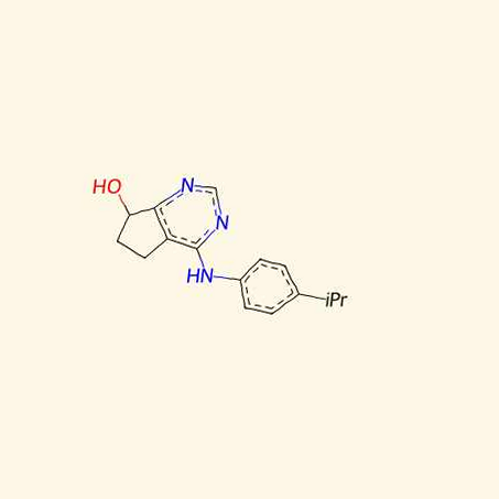 CC(C)c1ccc(Nc2ncnc3c2CCC3O)cc1